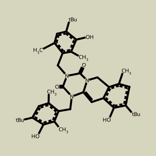 Cc1cc(C(C)(C)C)c(O)c(C)c1CN1C(=O)N(Cc2c(C)cc(C(C)(C)C)c(O)c2C)C2=Cc3c(O)c(C(C)(C)C)cc(C)c3CN2C1=O